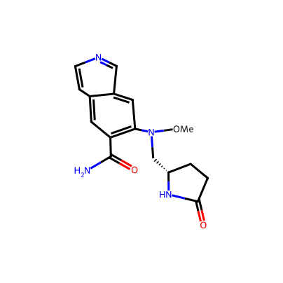 CON(C[C@@H]1CCC(=O)N1)c1cc2cnccc2cc1C(N)=O